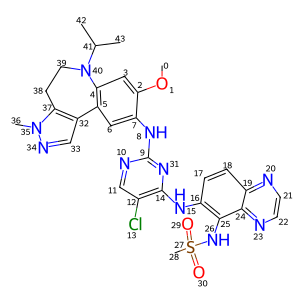 COc1cc2c(cc1Nc1ncc(Cl)c(Nc3ccc4nccnc4c3NS(C)(=O)=O)n1)-c1cnn(C)c1CCN2C(C)C